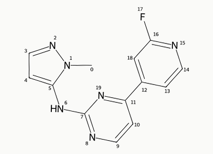 Cn1nccc1Nc1nccc(-c2ccnc(F)c2)n1